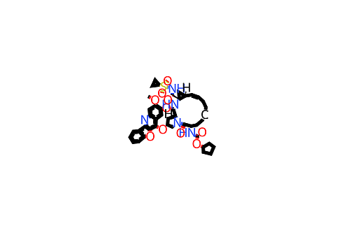 COc1ccc2c(O[C@@H]3C[C@H]4C(=O)N[C@]5(C(=O)NS(=O)(=O)C6CC6)C[C@H]5/C=C\CCCCC[C@H](NC(=O)OC5CCCC5)C(=O)N4C3)c3oc4ccccc4c3nc2c1